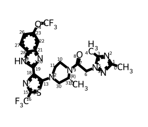 Cc1nc(C)n(CC(=O)N2CCN(c3sc(C(F)(F)F)nc3-c3nc4cc(OC(F)(F)F)ccc4[nH]3)C[C@H]2C)n1